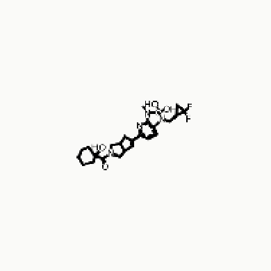 CN1c2nc(C3=CC4CN(C(=O)C5(O)CCCCC5)CC4C3)ccc2N(CC2CC2(F)F)S1(O)O